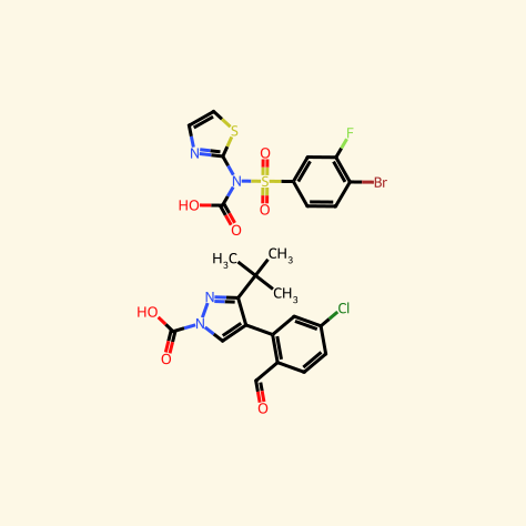 CC(C)(C)c1nn(C(=O)O)cc1-c1cc(Cl)ccc1C=O.O=C(O)N(c1nccs1)S(=O)(=O)c1ccc(Br)c(F)c1